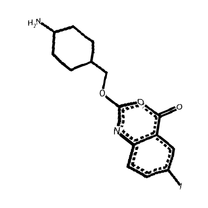 NC1CCC(COc2nc3ccc(I)cc3c(=O)o2)CC1